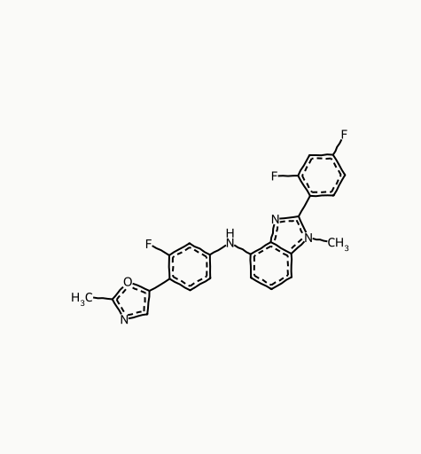 Cc1ncc(-c2ccc(Nc3cccc4c3nc(-c3ccc(F)cc3F)n4C)cc2F)o1